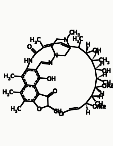 CO[C@H]1/C=C/O[C@@]2(C)Oc3c(C)c(C)c4c(C)c(c(/C=N/N5CCN(C)CC5)c(O)c4c3C2=O)NC(=O)/C(C)=C\C=C\C(C)[C@H](O)[C@@H](C)[C@@H](O)[C@@H](C)[C@H](OC(C)=O)[C@@H]1C